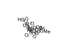 COC(=O)C1OC(Oc2cc3c(c4ccccc24)[C@H](CCl)CN3C(=O)c2ccc(C(=O)N3C[C@@H](CCl)c4c3cc(O)c3ccccc43)s2)C(OC(C)=O)C(OC(C)=O)C1OC(C)=O